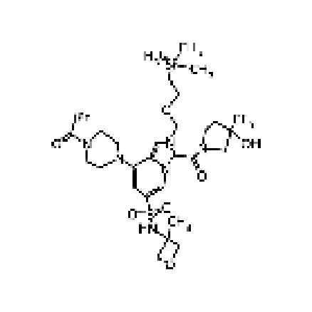 CC(C)C(=O)N1CCN(C2=CC(S(=O)(=O)NC3(C)COC3)=CN3C2=CN(COCC[Si](C)(C)C)C3C(=O)N2CCC(O)(C(F)(F)F)C2)CC1